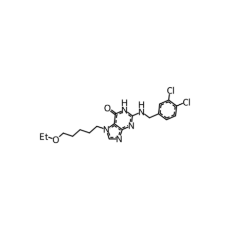 CCOCCCCCn1cnc2nc(NCc3ccc(Cl)c(Cl)c3)[nH]c(=O)c21